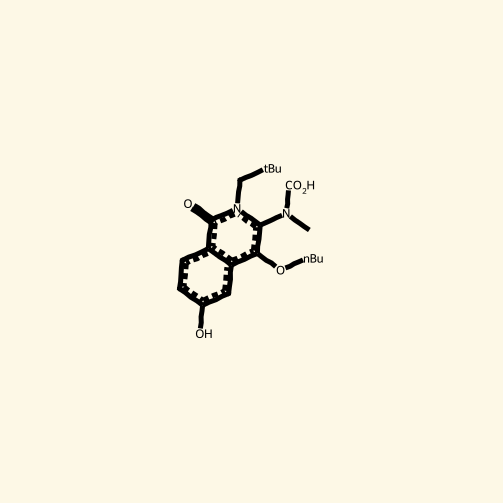 CCCCOc1c(N(C)C(=O)O)n(CC(C)(C)C)c(=O)c2ccc(O)cc12